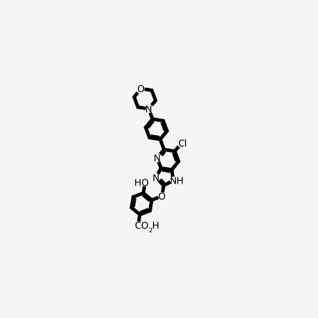 O=C(O)c1ccc(O)c(Oc2nc3nc(-c4ccc(N5CCOCC5)cc4)c(Cl)cc3[nH]2)c1